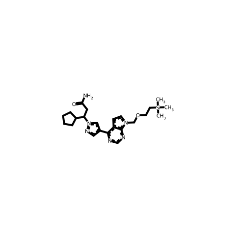 C[Si](C)(C)CCOCn1ccc2c(-c3cnn(C(CC(N)=O)C4CCCC4)c3)ncnc21